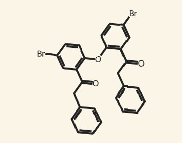 O=C(Cc1ccccc1)c1cc(Br)ccc1Oc1ccc(Br)cc1C(=O)Cc1ccccc1